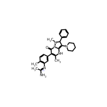 CC1=C(c2ccc(C)c(/N=C(\C)N)c2)C(=O)N2C(=C(N3CCCCC3)C(c3ccccc3)N2C)N1